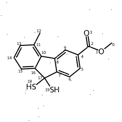 COC(=O)c1ccc2c(c1)-c1c(C)cccc1C2(S)S